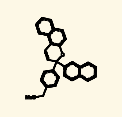 COCc1ccc(C2(c3ccc4ccccc4c3)C=Cc3c(ccc4ccccc34)O2)cc1